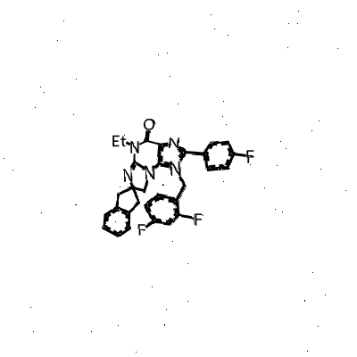 CCN1C(=O)c2nc(-c3ccc(F)cc3)n(Cc3ccc(F)cc3F)c2N2CC3(Cc4ccccc4C3)N=C12